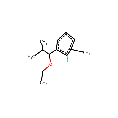 CCOC(c1cccc(C)c1F)C(C)C